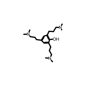 CN(C)CCCc1cc(CCCN(C)C)c(O)c(CCCN(C)C)c1